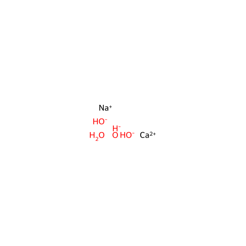 O.[Ca+2].[Na+].[OH-].[OH-].[OH-]